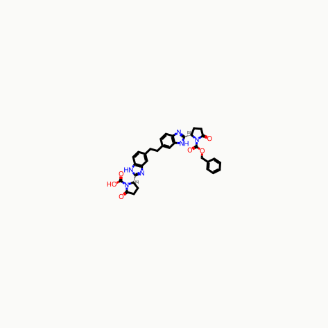 O=C(O)N1C(=O)CC[C@H]1c1nc2cc(CCc3ccc4nc([C@@H]5CCC(=O)N5C(=O)OCc5ccccc5)[nH]c4c3)ccc2[nH]1